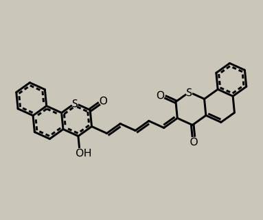 O=C1SC2C(=CCc3ccccc32)C(=O)C1=CC=CC=Cc1c(O)c2ccc3ccccc3c2sc1=O